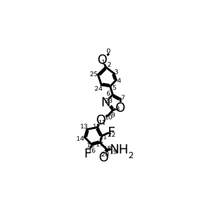 COc1ccc(-c2coc(COc3ccc(F)c(C(N)=O)c3F)n2)cc1